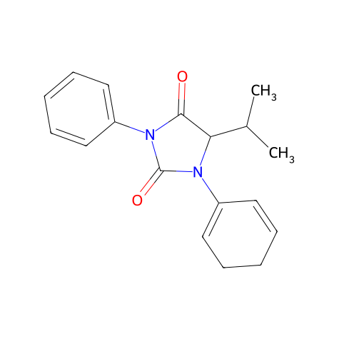 CC(C)C1C(=O)N(c2ccccc2)C(=O)N1C1=CCCC=C1